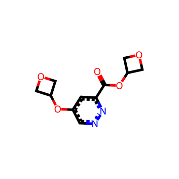 O=C(OC1COC1)c1cc(OC2COC2)cnn1